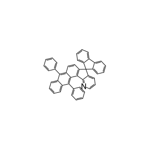 c1ccc(-c2c3ccccc3c(-c3ccccc3)c3c4c(ccc23)C2(c3ccccc3-c3ccccc32)c2cccnc2-4)cc1